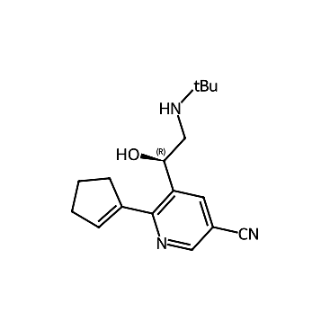 CC(C)(C)NC[C@H](O)c1cc(C#N)cnc1C1=CCCC1